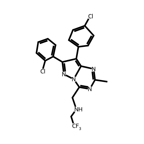 Cc1nc(CNCC(F)(F)F)n2nc(-c3ccccc3Cl)c(-c3ccc(Cl)cc3)c2n1